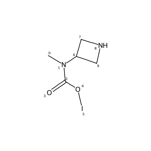 CN(C(=O)OI)C1CNC1